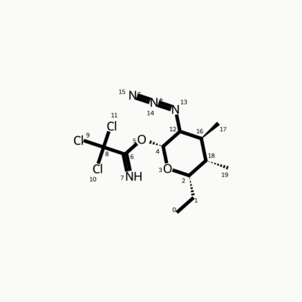 CC[C@@H]1O[C@H](OC(=N)C(Cl)(Cl)Cl)C(N=[N+]=[N-])[C@@H](C)[C@@H]1C